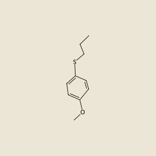 CCCSc1ccc(OC)cc1